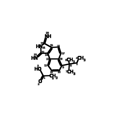 CC(=O)O.CCC(C)(C)c1cccc2c3c(ccc12)C(=N)NC3=N